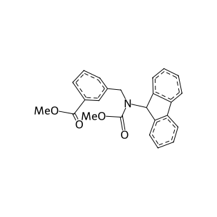 COC(=O)c1cccc(CN(C(=O)OC)C2c3ccccc3-c3ccccc32)c1